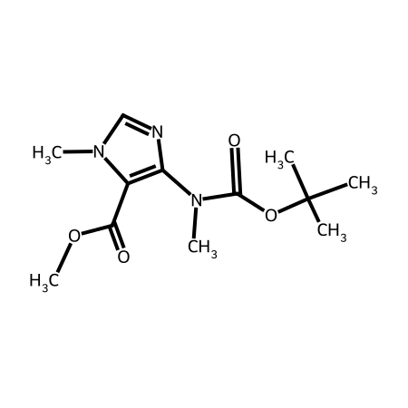 COC(=O)c1c(N(C)C(=O)OC(C)(C)C)ncn1C